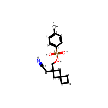 Cc1ccc(S(=O)(=O)OCC2(CC#N)CC3(CCC3)C2)cc1